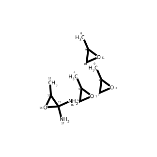 CC1CO1.CC1CO1.CC1CO1.CC1OC1(N)N